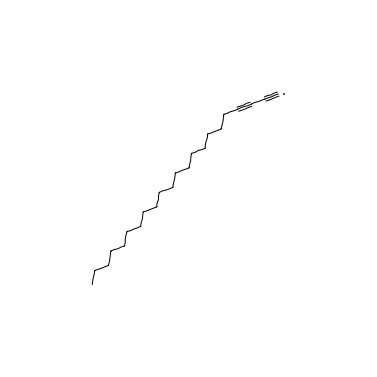 [C]#CC#CCCCCCCCCCCCCCCCCCC